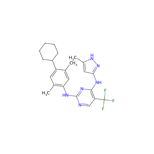 Cc1cc(Nc2nc(Nc3cc(C)c(C4CCCCC4)cc3C)ncc2C(F)(F)F)n[nH]1